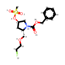 CS(=O)(=O)O[C@@H]1C[C@@H](COCCF)N(C(=O)OCc2ccccc2)C1